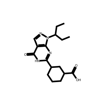 CCC(CC)n1ncc2c(=O)[nH]c(C3CCCC(C(=O)O)C3)nc21